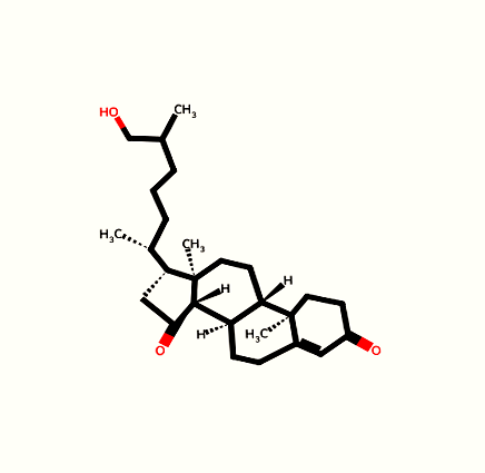 CC(CO)CCC[C@@H](C)[C@H]1CC(=O)[C@H]2[C@@H]3CCC4=CC(=O)CC[C@]4(C)[C@H]3CC[C@]12C